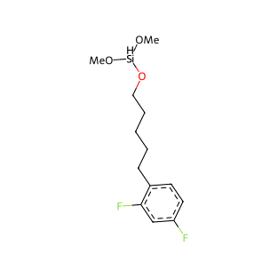 CO[SiH](OC)OCCCCCc1ccc(F)cc1F